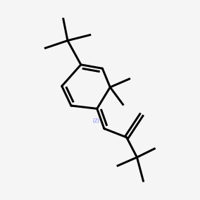 C=C(/C=C1/C=CC(C(C)(C)C)=CC1(C)C)C(C)(C)C